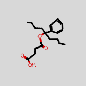 CCCCC(CCCC)(OC(=O)CCC(=O)O)c1ccccc1